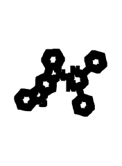 c1ccc(-c2cc(-c3ccccc3)nc(-n3c4ccccc4c4cc5c(cc43)sc3ccccc35)n2)cc1